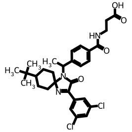 CC(c1ccc(C(=O)NCCC(=O)O)cc1)N1C(=O)C(c2cc(Cl)cc(Cl)c2)=NC12CCC(C(C)(C)C)CC2